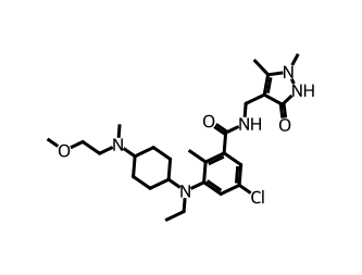 CCN(c1cc(Cl)cc(C(=O)NCc2c(C)n(C)[nH]c2=O)c1C)C1CCC(N(C)CCOC)CC1